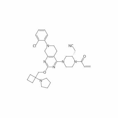 C=CC(=O)N1CCN(c2nc(OCC3(N4CCCC4)CCC3)nc3c2CCN(c2ccccc2Cl)C3)C[C@@H]1CC#N